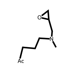 CC(=O)CCCN(C)CC1CO1